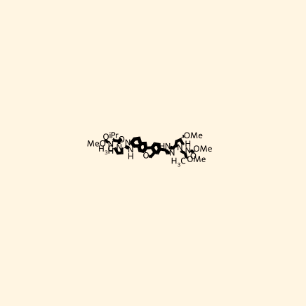 COC[C@H]1CC(c2ncc(-c3ccc4c(c3)COc3cc5c(ccc6nc([C@@H]7CC[C@H](C)N7C(=O)[C@@H](NC(=O)OC)C(C)C)[nH]c65)cc3-4)[nH]2)N(CC(NC(=O)OC)[C@@H](C)OC)C1